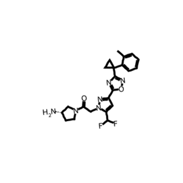 Cc1ccccc1C1(c2noc(-c3cc(C(F)F)n(CC(=O)N4CC[C@H](N)C4)n3)n2)CC1